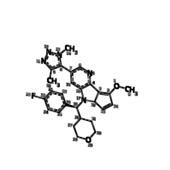 COC1=C2c3ncc(-c4c(C)nnn4C)cc3N([C@H](c3ccc(F)cc3)C3CCOCC3)C2C=C1